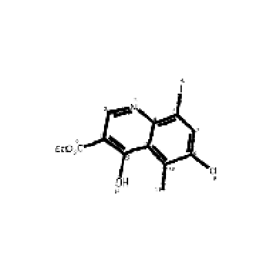 CCOC(=O)c1cnc2c(I)cc(Cl)c(C)c2c1O